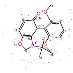 COc1cccc(OC)c1C1C(=O)C=CC2=C1P(C(C)(C)C)CO2